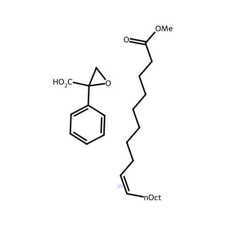 CCCCCCCC/C=C\CCCCCCCC(=O)OC.O=C(O)C1(c2ccccc2)CO1